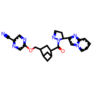 N#Cc1cnc(OCC2CC(C(=O)N3N=CCC3c3cn4ccccc4n3)C3CC2C3)cn1